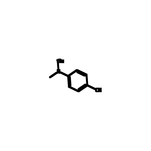 CN(c1ccc(C#N)cc1)C(C)(C)C